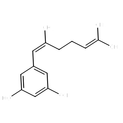 CC(C)=CCCC(C)=Cc1cc(O)cc(O)c1